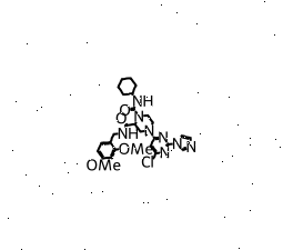 COc1cccc(CNC(=O)C2CN(c3cc(Cl)nc(-n4ccnc4)n3)CCN2C(=O)NC2CCCCC2)c1OC